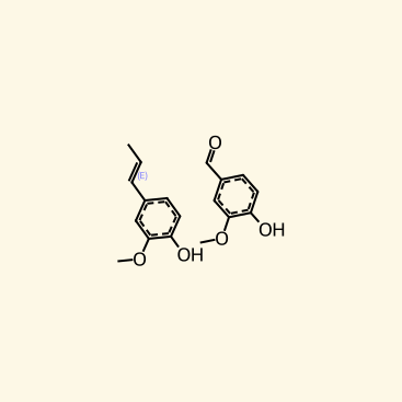 C/C=C/c1ccc(O)c(OC)c1.COc1cc(C=O)ccc1O